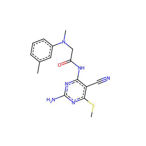 CSc1nc(N)nc(NC(=O)CN(C)c2cccc(C)c2)c1C#N